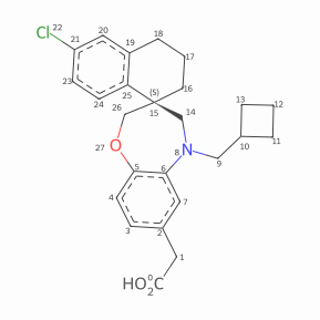 O=C(O)Cc1ccc2c(c1)N(CC1CCC1)C[C@@]1(CCCc3cc(Cl)ccc31)CO2